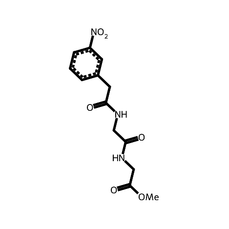 COC(=O)CNC(=O)CNC(=O)Cc1cccc([N+](=O)[O-])c1